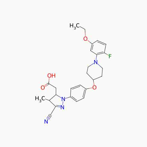 CCOc1ccc(F)c(N2CCC(Oc3ccc(N4N=C(C#N)C(C)C4CC(=O)O)cc3)CC2)c1